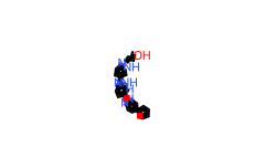 OCCCc1nc2ccc(-c3nc4ccc(-c5nc6ccc(-c7ccccc7)cc6[nH]5)cc4[nH]3)cc2[nH]1